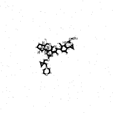 Cc1cc(-c2nc3c4c(nc(OCC5(CN6CCOCC6)CC5)nc4c2F)N2C[C@H]4CC[C@@H]([C@H]2[C@H](C)O3)N4C(=O)OC(C)(C)C)c(C)c(NC(=O)OC(C)(C)C)c1C1CC1